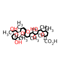 CC[C@@H](C(=O)[C@@H](C)[C@@H](O)[C@H](C)[C@@H]1O[C@@H](CC(=O)O)CC[C@@H]1C)[C@H]1O[C@]2(C=C[C@@H](C)[C@H](CCC(C)(O)[C@H]3CC[C@@H](O)[C@H](C)O3)O2)[C@H](C)C[C@@H]1C